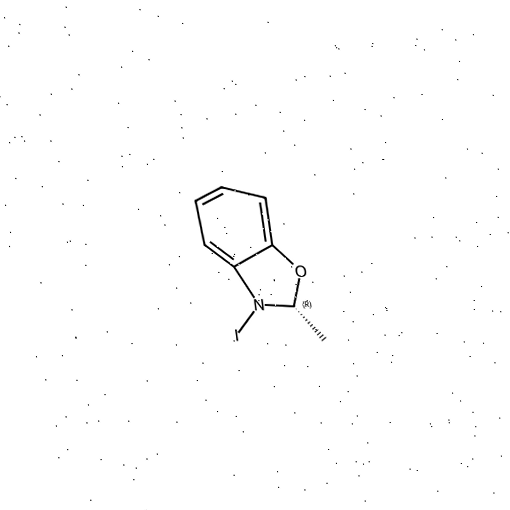 C[C@H]1Oc2ccccc2N1I